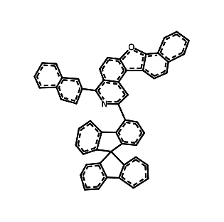 c1ccc2c(c1)-c1ccccc1C21c2ccccc2-c2c(-c3cc4c(ccc5oc6c7ccccc7ccc6c54)c(-c4ccc5ccccc5c4)n3)cccc21